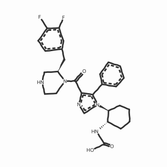 O=C(O)N[C@H]1CCCC[C@@H]1n1cnc(C(=O)N2CCNC[C@H]2Cc2ccc(F)c(F)c2)c1-c1ccccc1